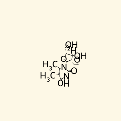 [2H][C@@]1(O)[C@@H](CO)O[C@@H](n2c(C)c(C)c(=O)[nH]c2=O)[C@@]12CCO2